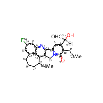 CC[C@@](O)(C=O)c1cc2n(c(=O)c1COC)Cc1c-2nc2cc(F)cc3c2c1C(NC)CCC3